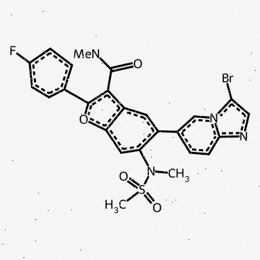 CNC(=O)c1c(-c2ccc(F)cc2)oc2cc(N(C)S(C)(=O)=O)c(-c3ccc4ncc(Br)n4c3)cc12